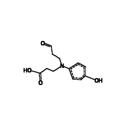 O=CCCN(CCC(=O)O)c1ccc(O)cc1